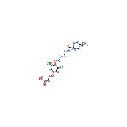 O=C(NCCCCOc1c(Cl)cc(OCC=C(Br)Br)cc1Cl)c1ccc(C(F)(F)F)cn1